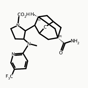 CN(c1ccc(C(F)(F)F)cn1)C1CCN(C(=O)O)C1C1C2CC3C[C@H]1C[C@@](C(N)=O)(C3)C2